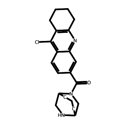 O=C(c1ccc2c(Cl)c3c(nc2c1)CCCC3)N1CC2CCCC1CN2